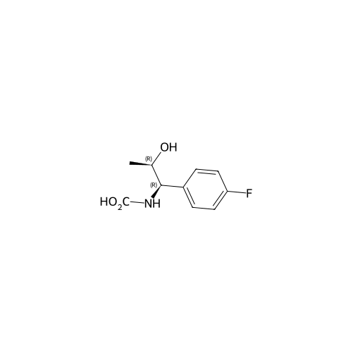 C[C@@H](O)[C@H](NC(=O)O)c1ccc(F)cc1